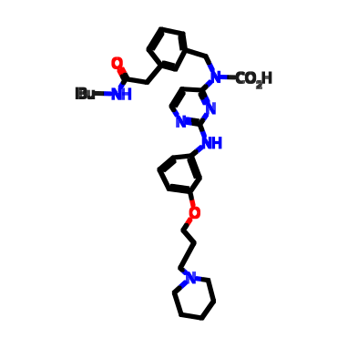 CCC(C)NC(=O)Cc1cccc(CN(C(=O)O)c2ccnc(Nc3cccc(OCCCN4CCCCC4)c3)n2)c1